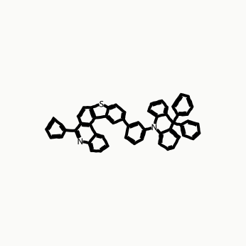 c1ccc(-c2nc3ccccc3c3c2ccc2sc4ccc(-c5cccc(N6c7ccccc7C(c7ccccc7)(c7ccccc7)c7ccccc76)c5)cc4c23)cc1